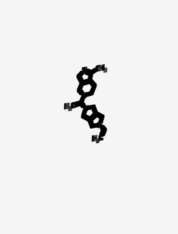 C=CN1CC2=C(C1)CN(C(=C)N1CCC3=C(CN=C3C)C1)C2